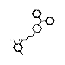 Cc1ccc(O)c(NCCCN2CCN(C(c3ccccc3)c3ccccc3)CC2)c1